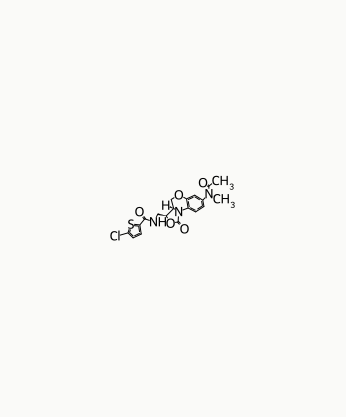 CC(=O)N(C)c1ccc2c(c1)OC[C@H]1[C@H](CNC(=O)c3ccc(Cl)s3)OC(=O)N21